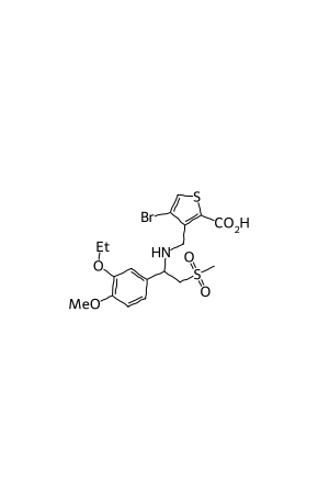 CCOc1cc(C(CS(C)(=O)=O)NCc2c(Br)csc2C(=O)O)ccc1OC